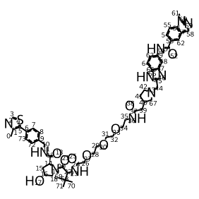 Cc1ncsc1-c1ccc(CNC(=O)[C@@H]2C[C@@H](O)CN2C(=O)C(NC(=O)COCCOCCOCCNC(=O)CC2CCN(Cc3nc4cc(NC(=O)c5ccc6c(cnn6C)c5)ccc4[nH]3)C2)C(C)(C)C)cc1